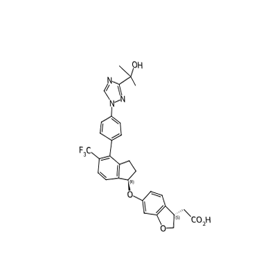 CC(C)(O)c1ncn(-c2ccc(-c3c(C(F)(F)F)ccc4c3CC[C@H]4Oc3ccc4c(c3)OC[C@H]4CC(=O)O)cc2)n1